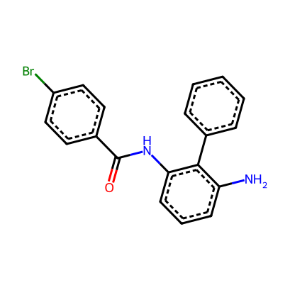 Nc1cccc(NC(=O)c2ccc(Br)cc2)c1-c1ccccc1